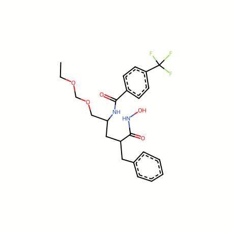 CCOCOCC(CC(Cc1ccccc1)C(=O)NO)NC(=O)c1ccc(C(F)(F)F)cc1